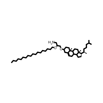 CCCCCCCCCCCCCCCCCCOC(CN)COC1CC[C@@]2(C)C(=CCC3C2CC[C@@]2(C)C3CC[C@@H]2[C@H](C)CCCC(C)C)C1